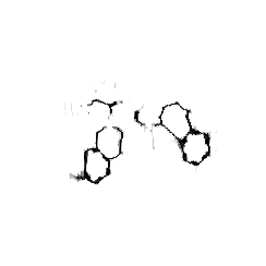 CC(C)(C)[C@H](N)C(=O)N1Cc2cc(O)ccc2C[C@H]1C(=O)NC1CCCc2ccccc21